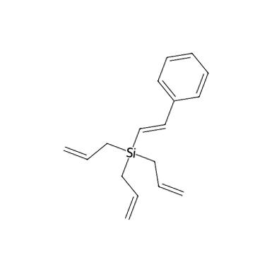 C=CC[Si](C=Cc1ccccc1)(CC=C)CC=C